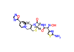 Nc1nc(C(=NO)C(=O)N[C@@H]2C(=O)N3C(C(=O)[O-])=C(C[n+]4ccc(-c5ncno5)cc4)CS[C@@H]23)cs1